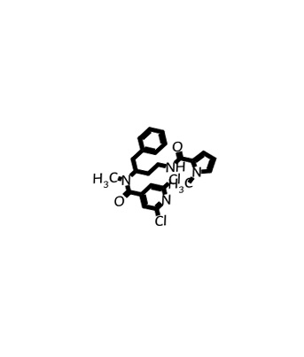 CN(C(=O)c1cc(Cl)nc(Cl)c1)C(CCNC(=O)c1cccn1C)Cc1ccccc1